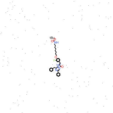 CC(C)(C)OC(=O)NCCCCCCCCOc1ccc(/C=C2\N=C3C(Cc4ccccc4)=NC(c4ccccc4)=CN3C2=O)cc1F